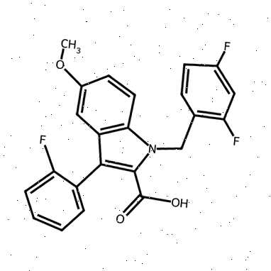 COc1ccc2c(c1)c(-c1ccccc1F)c(C(=O)O)n2Cc1ccc(F)cc1F